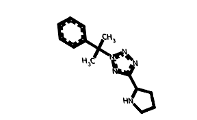 CC(C)(c1ccccc1)n1nnc(C2CCCN2)n1